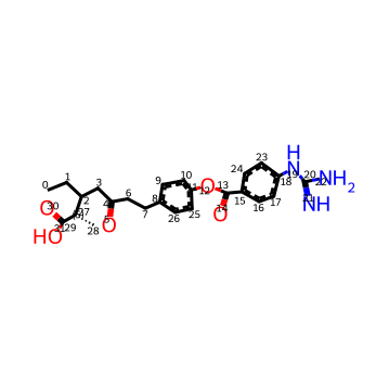 CCC(CC(=O)CCc1ccc(OC(=O)c2ccc(NC(=N)N)cc2)cc1)[C@H](C)C(=O)O